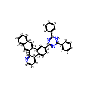 c1ccc(-c2nc(-c3ccccc3)nc(-c3ccc4c(c3)c3cc5ccccc5cc3c3ncccc43)n2)cc1